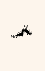 CN(CCO)C1CCN(c2cccc(-n3cnc(Nc4cnc(C#N)cn4)c3)c2)C1